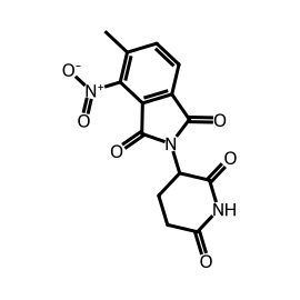 Cc1ccc2c(c1[N+](=O)[O-])C(=O)N(C1CCC(=O)NC1=O)C2=O